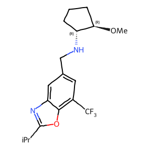 CO[C@@H]1CCC[C@H]1NCc1cc(C(F)(F)F)c2oc(C(C)C)nc2c1